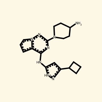 NC1CCN(c2nc(Nc3cc(C4CCC4)n[nH]3)c3cccn3n2)CC1